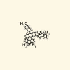 Cc1ccc2cc(-c3c4ccccc4c(-c4cccc5c4-c4ccccc4C5(C)C)c4cc(-c5ccc6c(c5)C(C)(C)c5ccccc5-6)ccc34)ccc2n1